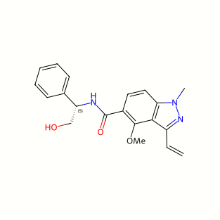 C=Cc1nn(C)c2ccc(C(=O)N[C@H](CO)c3ccccc3)c(OC)c12